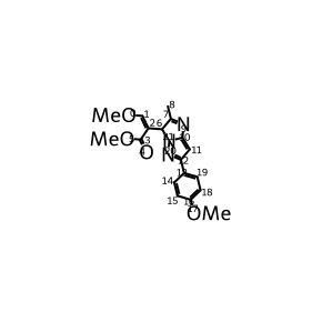 COC=C(C(=O)OC)C1C(C)=Nc2cc(-c3ccc(OC)cc3)nn21